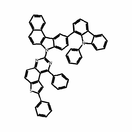 c1ccc(-c2cc3c(ccc4nc(-n5c6ccc(-c7cccc8c9ccccc9n(-c9ccccc9)c78)cc6c6c7ccccc7ccc65)nc(-c5ccccc5)c43)s2)cc1